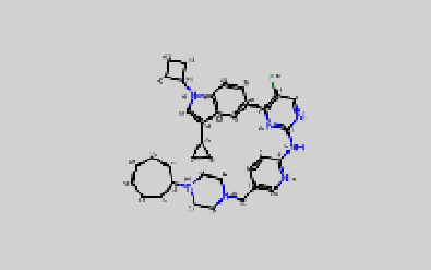 Fc1cnc(Nc2ccc(CN3CCN(C4CCCCCC4)CC3)cn2)nc1-c1ccc2c(c1)c(C1CC1)cn2C1CCC1